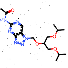 CC(=O)Nc1ncc2c(nnn2COC(COC(C)C)COC(C)C)n1